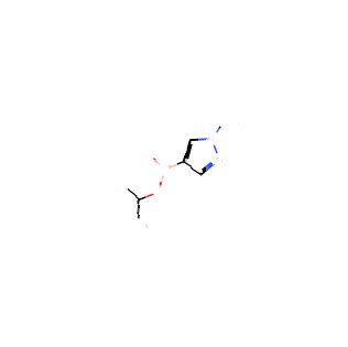 CC(OB(O)c1cnn(C)c1)C(C)(C)C